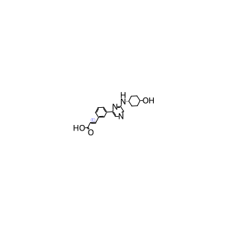 O=C(O)/C=C/c1cccc(-c2cncc(N[C@H]3CC[C@H](O)CC3)n2)c1